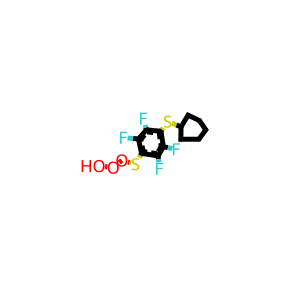 OOOSc1c(F)c(F)c(SC2CCCCC2)c(F)c1F